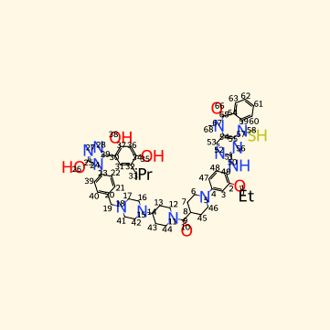 CCOc1cc(N2CCC(C(=O)N3CCC(N4CCN(Cc5ccc(-n6c(O)nnc6-c6cc(C(C)C)c(O)cc6O)cc5)CC4)CC3)CC2)ccc1Nc1ncc2c(n1)N(S)c1ccccc1C(=O)N2C